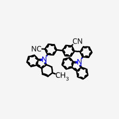 CC1C=Cc2c(n(-c3cc(-c4ccc(-c5ccccc5-n5c6ccccc6c6ccccc65)c(C#N)c4)ccc3C#N)c3ccccc23)C1